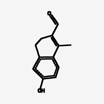 CC1=C(C=O)CCc2cc(O)ccc21